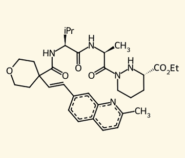 CCOC(=O)[C@@H]1CCCN(C(=O)[C@H](C)NC(=O)[C@@H](NC(=O)C2(/C=C/c3ccc4ccc(C)nc4c3)CCOCC2)C(C)C)N1